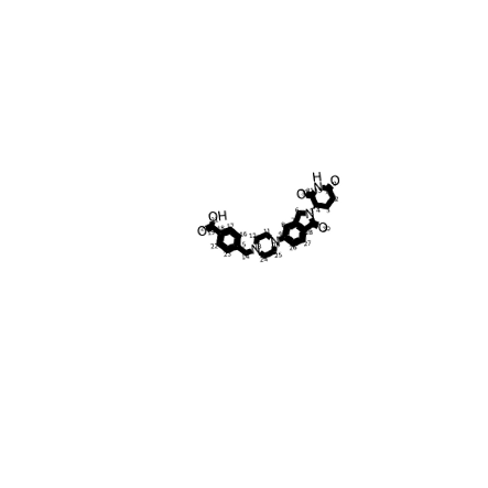 O=C1CC[C@H](N2Cc3cc(N4CCN(Cc5ccc(C(=O)O)cc5)CC4)ccc3C2=O)C(=O)N1